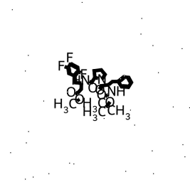 COC(=O)CC(Cc1cc(F)c(F)cc1F)NC(=O)C1CCCN1C(=O)C(Cc1ccccc1)NC(=O)OC(C)(C)C